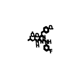 COC(=O)[C@H](CC(C)C)Nc1cc(Cc2ccc(OC)cc2)nc(Nc2cccc(F)c2)n1